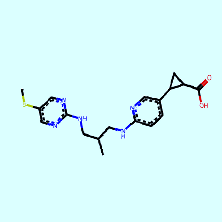 CSc1cnc(NCC(C)CNc2ccc(C3CC3C(=O)O)cn2)nc1